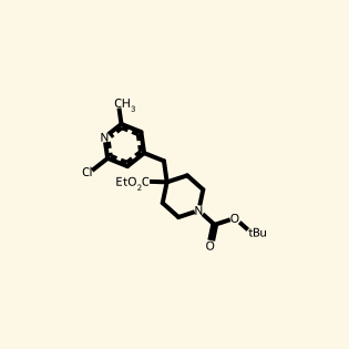 CCOC(=O)C1(Cc2cc(C)nc(Cl)c2)CCN(C(=O)OC(C)(C)C)CC1